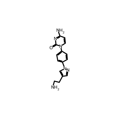 NCCc1cnn(-c2ccc(-n3ccc(N)nc3=O)cc2)c1